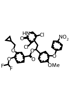 COc1ccc(C(Cc2c(Cl)c[nH]c(=O)c2Cl)OC(=O)c2ccc(OC(F)F)c(OCC3CC3)c2)cc1Oc1ccc([N+](=O)[O-])cc1